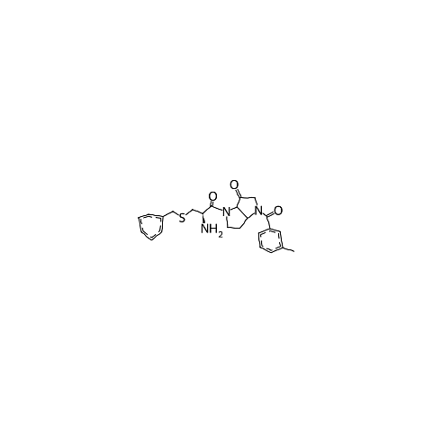 Cc1cccc(C(=O)N2CC(=O)C3C2CCN3C(=O)[C@@H](N)CSCc2ccccc2)c1